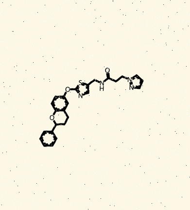 O=C(CCn1cccn1)NCc1cnc(Oc2ccc3c(c2)CCC(c2ccccc2)O3)s1